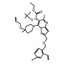 C=CCOC1(C)CCN(c2c([C@H](OC(C)(C)C)C(=O)OCC)c(C)nc3cc(COCc4ccc(F)cc4C=C)nn23)CC1